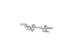 CCCc1c(OCCCOc2ccc(C(C)=O)c(OC)c2CCC)ccc2c1OC(C(C)C(=O)OCC)CC2